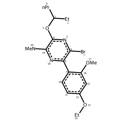 CCCC(CC)Oc1nc(Br)c(-c2ccc(OCC)cc2OC)nc1NC